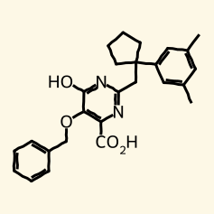 Cc1cc(C)cc(C2(Cc3nc(O)c(OCc4ccccc4)c(C(=O)O)n3)CCCC2)c1